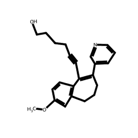 COc1ccc2c(c1)CCCC(c1cccnc1)=C2C#CCCCCO